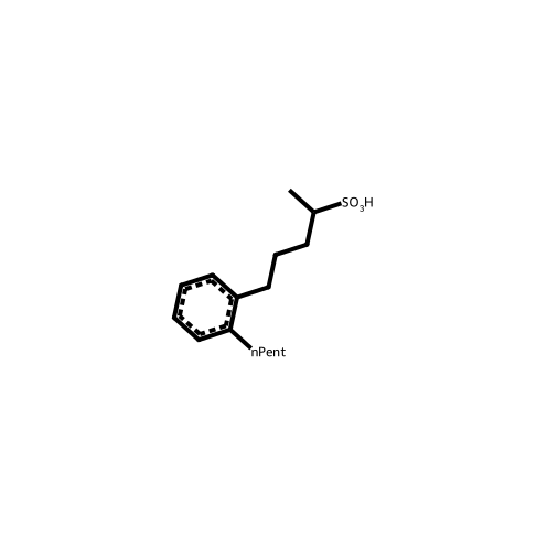 CCCCCc1ccccc1CCCC(C)S(=O)(=O)O